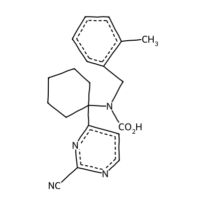 Cc1ccccc1CN(C(=O)O)C1(c2ccnc(C#N)n2)CCCCC1